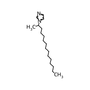 CCCCCCCCCCCCCC(C)n1ccnc1